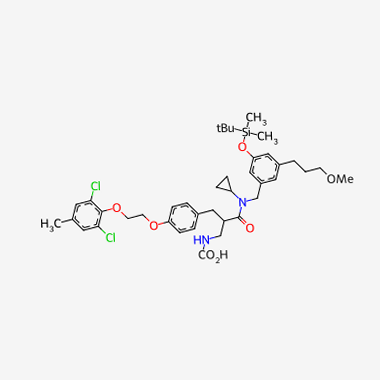 COCCCc1cc(CN(C(=O)C(CNC(=O)O)Cc2ccc(OCCOc3c(Cl)cc(C)cc3Cl)cc2)C2CC2)cc(O[Si](C)(C)C(C)(C)C)c1